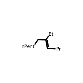 CCCCCCC(=CC(C)C)CC